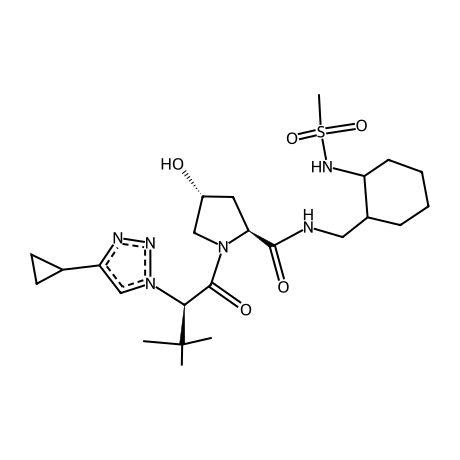 CC(C)(C)[C@H](C(=O)N1C[C@H](O)C[C@H]1C(=O)NCC1CCCCC1NS(C)(=O)=O)n1cc(C2CC2)nn1